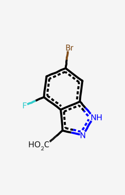 O=C(O)c1n[nH]c2cc(Br)cc(F)c12